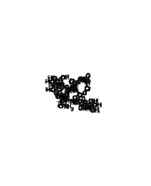 CO[C@H]1[C@H](C)O[C@@H](O[C@@H]2c3ccc(c(Cl)c3)Oc3cc4cc(c3O[C@@H]3O[C@H](CO)[C@@H](O)[C@H](O)[C@H]3O[C@@H]3O[C@@H](C)[C@H](O)[C@@H](O)[C@H]3O)Oc3ccc(cc3)[C@H]3OC(=O)N[C@H]3C(=O)N[C@@H](Cc3ccccc3)C(=O)N[C@H]4C(=O)N[C@H]3C(=O)N[C@@H]2C(=O)N[C@H](C(=O)O)c2cc(O)cc(O[C@H]4O[C@H](CO)[C@@H](O)[C@H](O)[C@@H]4O)c2-c2cc3ccc2O)C[C@@H]1N